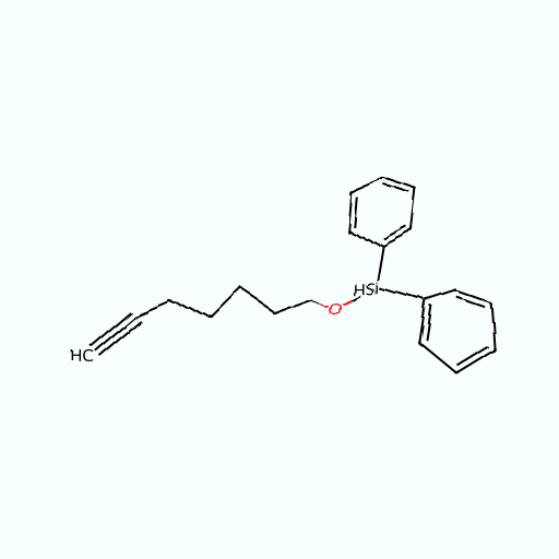 C#CCCCCCO[SiH](c1ccccc1)c1ccccc1